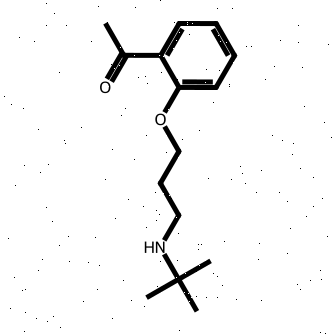 CC(=O)c1ccccc1OCCCNC(C)(C)C